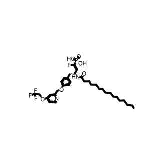 CCCCCCCCCCCCCCCC(=O)N[C@@H](/C=C(\F)P(=O)(O)O)Cc1ccc(OCc2cc(OCC(F)(F)F)ccn2)cc1